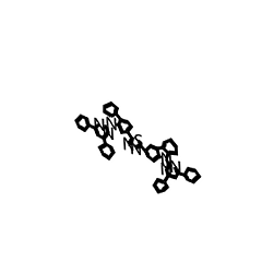 c1ccc(-c2cc(-c3ccccc3)nc(-n3c4ccccc4c4cc(-c5nnc(-c6ccc7c8ccccc8n(-c8nc(-c9ccccc9)cc(-c9ccccc9)n8)c7c6)s5)ccc43)n2)cc1